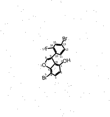 Oc1ccc(Br)c2occ(-c3ccc(Br)cc3F)c12